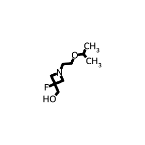 CC(C)OCCN1CC(F)(CO)C1